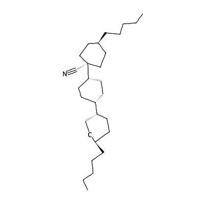 CCCCC[C@H]1CC[C@H]([C@H]2CC[C@@H]([C@]3(C#N)CC[C@H](CCCCC)CC3)CC2)CC1